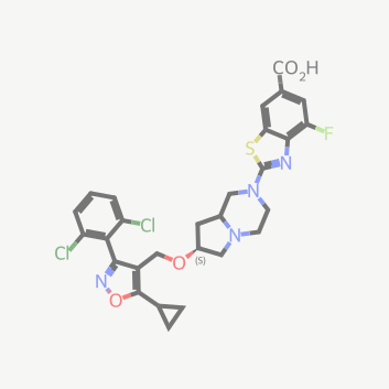 O=C(O)c1cc(F)c2nc(N3CCN4C[C@@H](OCc5c(-c6c(Cl)cccc6Cl)noc5C5CC5)CC4C3)sc2c1